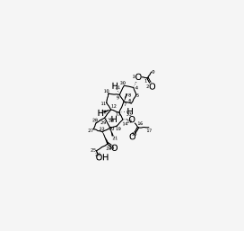 CC(=O)O[C@@H]1CC[C@@]2(C)[C@@H](CC[C@@H]3[C@@H]2[C@H](OC(C)=O)C[C@]2(C)[C@@H](C(=O)CO)CC[C@@H]32)C1